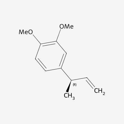 C=C[C@@H](C)c1ccc(OC)c(OC)c1